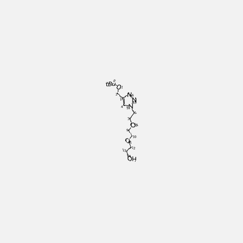 CC(C)(C)OCc1cn(CCOCCOCCO)nn1